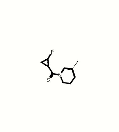 C[C@@H]1CCCN(C(=O)C2CC2F)C1